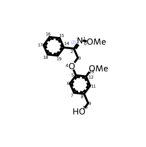 CO/N=C(\COc1ccc(CO)cc1OC)c1ccccc1